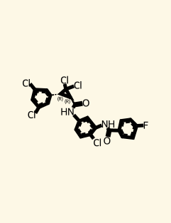 O=C(Nc1cc(NC(=O)[C@H]2[C@H](c3cc(Cl)cc(Cl)c3)C2(Cl)Cl)ccc1Cl)c1ccc(F)cc1